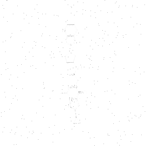 Cc1nn(CC(=O)NC2CCN(c3nc4cccnc4o3)C2)c(=O)c2cc(C3CC3)nn12